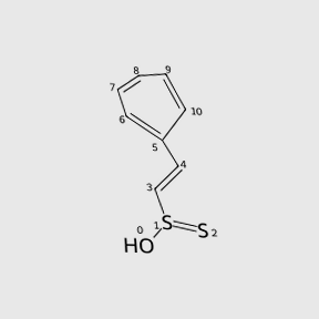 OS(=S)C=Cc1ccccc1